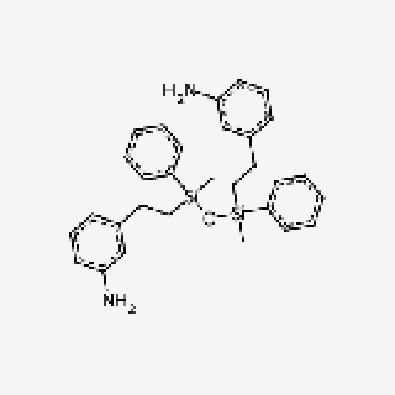 C[Si](CCc1cccc(N)c1)(O[Si](C)(CCc1cccc(N)c1)c1ccccc1)c1ccccc1